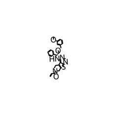 C=CC(=O)N1CCc2c(sc3ncnc(N[C@H](COCc4cccc(OC)c4)c4ccccc4)c23)C1